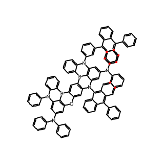 c1ccc(-c2c3ccccc3c(-c3cccc(N4c5ccccc5B5c6cc7c(cc6N(c6c8ccccc8c(-c8ccccc8)c8ccccc68)c6cc(N(c8ccccc8)c8ccccc8)cc4c65)Oc4cc(N(c5ccccc5)c5ccccc5)cc5c4B7c4ccccc4N5c4ccccc4)c3)c3ccccc23)cc1